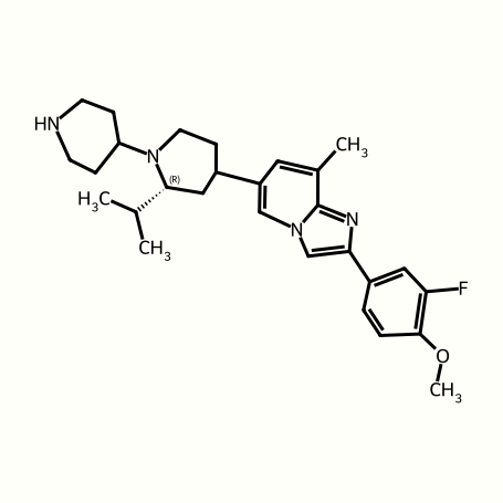 COc1ccc(-c2cn3cc(C4CCN(C5CCNCC5)[C@@H](C(C)C)C4)cc(C)c3n2)cc1F